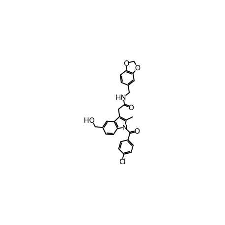 Cc1c(CC(=O)NCc2ccc3c(c2)OCO3)c2cc(CO)ccc2n1C(=O)c1ccc(Cl)cc1